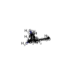 C/C=C/C1=CN2C(=O)c3cc(OC)c(OCCCOc4cc5c(cc4OC)C(=O)N(/C=C(/C=C/C)CC)C[C@H](O)N5C(=O)OCc4ccc(NC(=O)[C@H](C)NC(=O)[C@H](NC(=O)CCOCCOCCOCCOCCNC(=O)CCN5C(=O)C=CC5=O)C(C)C)cc4)cc3N=C[C@@H]2C1